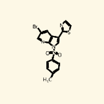 Cc1ccc(S(=O)(=O)n2cc(-c3nccs3)c3cc(Br)cnc32)cc1